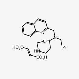 CC(C)CN(Cc1ccc2ccccc2n1)C1CCNCC1.O=C(O)C=CC(=O)O